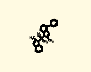 CC1=Cc2ccccc2C1[Si](C)(C)C1C(C)=Cc2c(-c3ccncc3)cccc21